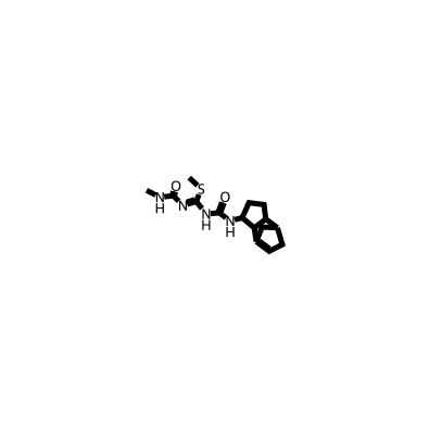 CNC(=O)N=C(NC(=O)NC1CCC2C3CC=C(C3)C12)SC